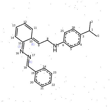 CC(C)c1ccc(NC\C=C2/C=CC=C/C2=N/N=C/c2ccccc2)cc1